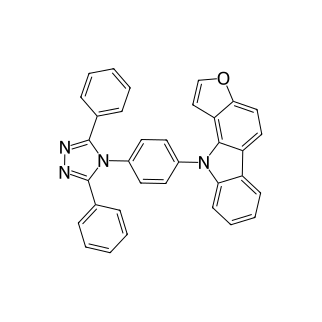 c1ccc(-c2nnc(-c3ccccc3)n2-c2ccc(-n3c4ccccc4c4ccc5occc5c43)cc2)cc1